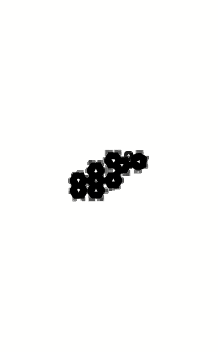 C1=c2ccccc2=C(c2c3ccccc3c(-c3cccc(-c4cc5c6ccccc6oc5c5ccccc45)c3)c3ccccc23)CC1